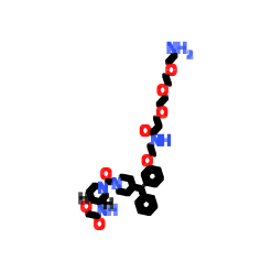 NCCOCCOCCOCCC(=O)NCCOc1cccc([C@H](c2ccccc2)C2CCN(C(=O)N3CC[C@@H]4OCC(=O)N[C@@H]4C3)CC2)c1